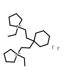 CC[N+]1(CCC2(CC[N+]3(CC)CCCC3)CCCCC2)CCCC1.[I-].[I-]